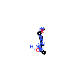 Cc1nnc(-c2cccc(N3CCN(CCn4ncc5c4nc(N)n4c(=O)n(Cc6ccccc6)nc54)CC3)c2)o1